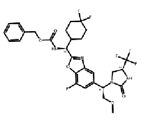 COC[C@@H](c1cc(F)c2oc([C@@H](NC(=O)OCc3ccccc3)C3CCC(F)(F)CC3)nc2c1)N1C[C@@H](C(F)(F)F)NC1=O